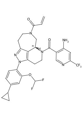 C=CC(=O)N1CCc2nn(-c3ccc(C4CC4)cc3OC(F)F)c3c2[C@H](C1)N(C(=O)c1cnc(C(F)(F)F)cc1N)CC3